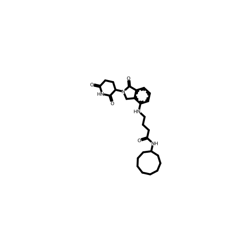 O=C1CCC(N2Cc3c(NCCCC(=O)NC4CCCCCCCC4)cccc3C2=O)C(=O)N1